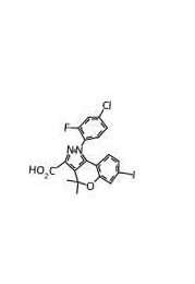 CC1(C)Oc2cc(I)ccc2-c2c1c(C(=O)O)nn2-c1ccc(Cl)cc1F